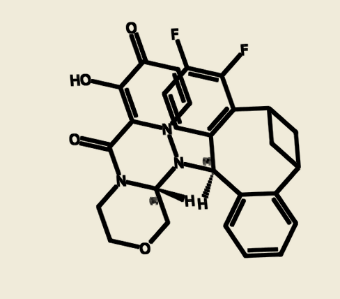 O=C1c2c(O)c(=O)ccn2N([C@@H]2c3ccccc3C3CC(C3)c3c2ccc(F)c3F)[C@@H]2COCCN12